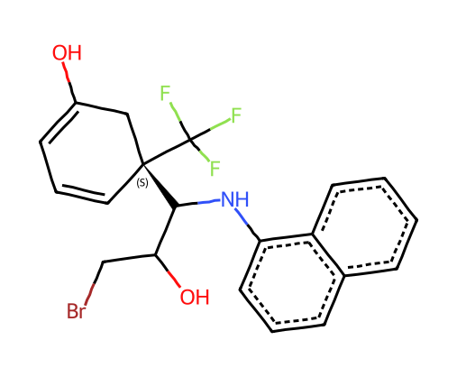 OC1=CC=C[C@@](C(Nc2cccc3ccccc23)C(O)CBr)(C(F)(F)F)C1